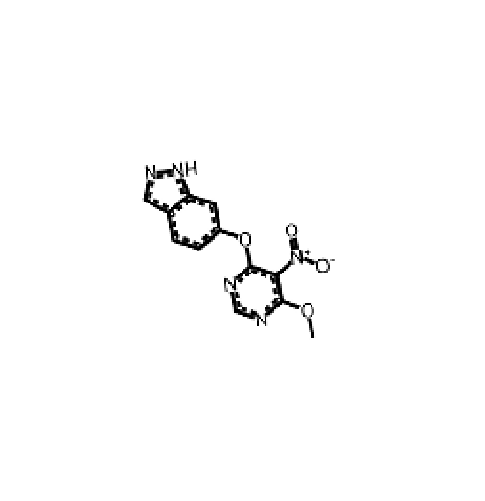 COc1ncnc(Oc2ccc3cn[nH]c3c2)c1[N+](=O)[O-]